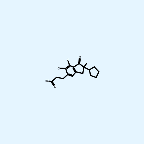 CC1(C2CCCC2)Cc2cc(CCC(=O)O)c(Cl)c(Cl)c2C1=O